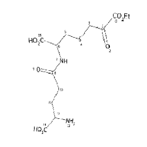 CCOC(=O)C(=O)CSCC(NC(=O)CCC(N)C(=O)O)C(=O)O